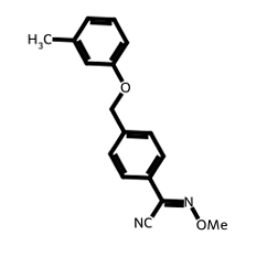 CON=C(C#N)c1ccc(COc2cccc(C)c2)cc1